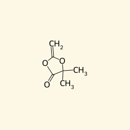 C=C1OC(=O)C(C)(C)O1